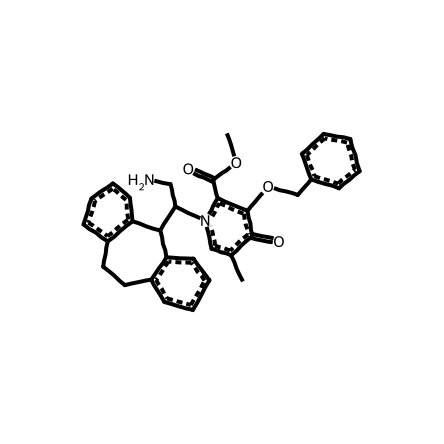 COC(=O)c1c(OCc2ccccc2)c(=O)c(C)cn1C(CN)C1c2ccccc2CCc2ccccc21